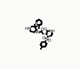 Cc1ccc(S(=O)(=O)N2C=CNC(=O)[C@H]2CC(=O)N[C@]2(Cc3ccccn3)CCNCC2(C)C)cc1